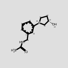 BC(=O)NCc1cccc(N2CC[C@H](O)C2)c1